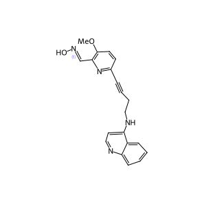 COc1ccc(C#CCCNc2ccnc3ccccc23)nc1/C=N/O